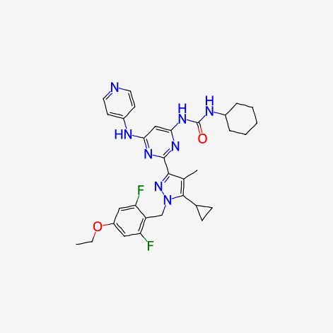 CCOc1cc(F)c(Cn2nc(-c3nc(NC(=O)NC4CCCCC4)cc(Nc4ccncc4)n3)c(C)c2C2CC2)c(F)c1